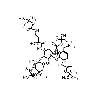 CN(C(=O)O)[C@@H]1[C@@H](O)[C@@H](O[C@@H]2[C@@H](O)[C@H](O[C@H]3OC(CN)=CC[C@H]3NC(=O)OC(C)(C)C)[C@@H](NC(=O)OC(C)(C)C)C[C@H]2NC(=O)[C@@H](O)CCNC(=O)OC(C)(C)C)OC[C@]1(C)O